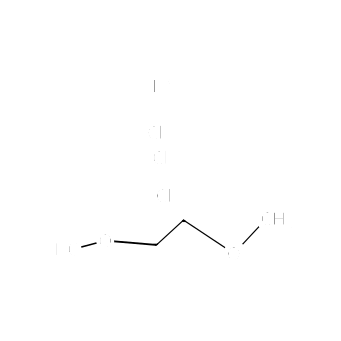 COCCOC.[Cl-].[Cl-].[Cl-].[Ti+3]